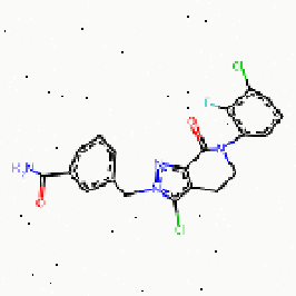 NC(=O)c1cccc(Cn2nc3c(c2Cl)CCN(c2cccc(Cl)c2F)C3=O)c1